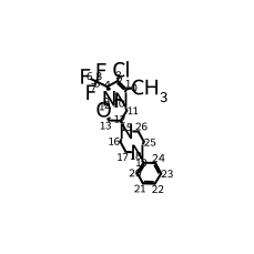 Cc1c(Cl)c(C(F)(F)F)nn1CC(C=O)N1CCN(c2ccccc2)CC1